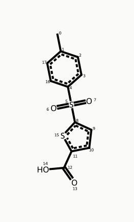 Cc1ccc(S(=O)(=O)c2ccc(C(=O)O)s2)cc1